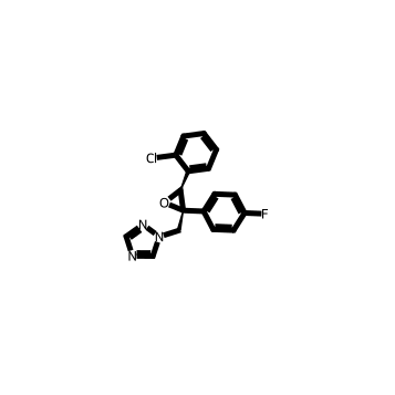 Fc1ccc([C@]2(Cn3cncn3)O[C@H]2c2ccccc2Cl)cc1